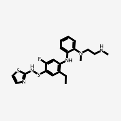 CCc1cc(SNc2nccs2)c(F)cc1Nc1ccccc1N(C)CCNC